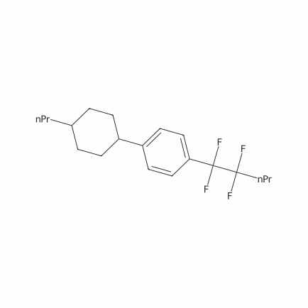 CCCC1CCC(c2ccc(C(F)(F)C(F)(F)CCC)cc2)CC1